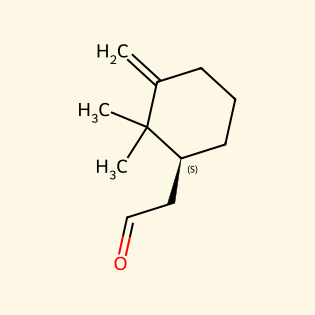 C=C1CCC[C@@H](CC=O)C1(C)C